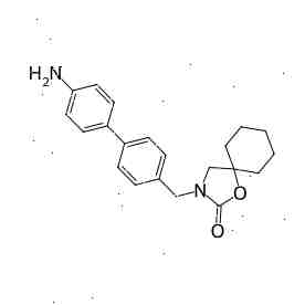 Nc1ccc(-c2ccc(CN3CC4(CCCCC4)OC3=O)cc2)cc1